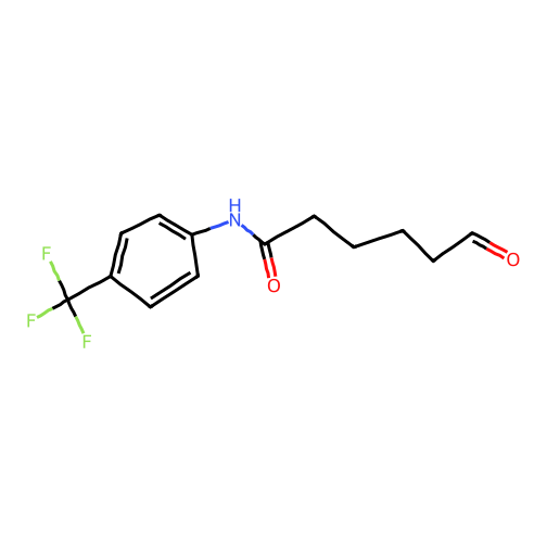 O=CCCCCC(=O)Nc1ccc(C(F)(F)F)cc1